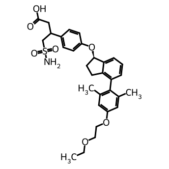 CCOCCOc1cc(C)c(-c2cccc3c2CC[C@H]3Oc2ccc(C(CC(=O)O)CS(N)(=O)=O)cc2)c(C)c1